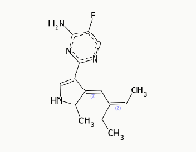 C/C=C(\C=C1\C(c2ncc(F)c(N)n2)=CNC1C)CC